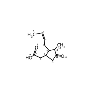 C/C=C\CC1C(CC(=O)O)CC(=O)C1C